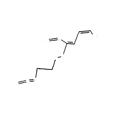 C=N/C(=C\C=C/C)SSCCN=C=O